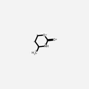 CC1CCOC(=O)N1